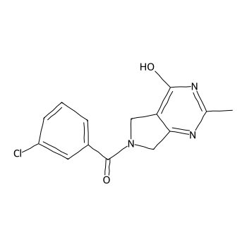 Cc1nc(O)c2c(n1)CN(C(=O)c1cccc(Cl)c1)C2